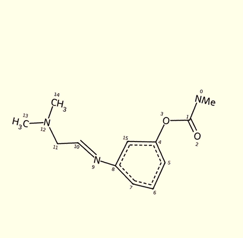 CNC(=O)Oc1cccc(N=CCN(C)C)c1